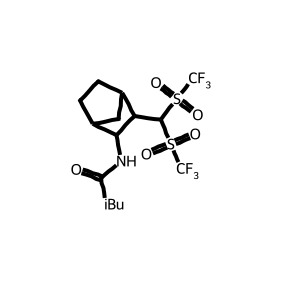 CCC(C)C(=O)NC1C2CCC(C2)C1C(S(=O)(=O)C(F)(F)F)S(=O)(=O)C(F)(F)F